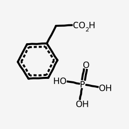 O=C(O)Cc1ccccc1.O=P(O)(O)O